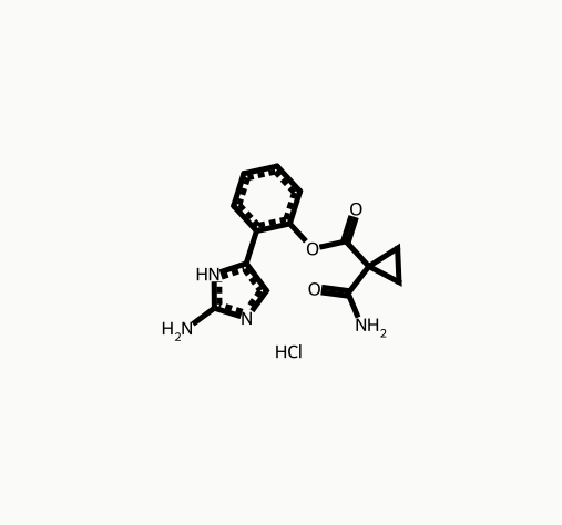 Cl.NC(=O)C1(C(=O)Oc2ccccc2-c2cnc(N)[nH]2)CC1